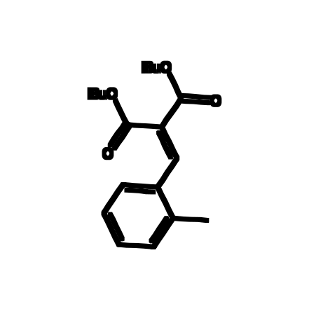 Cc1ccccc1C=C(C(=O)OCC(C)C)C(=O)OCC(C)C